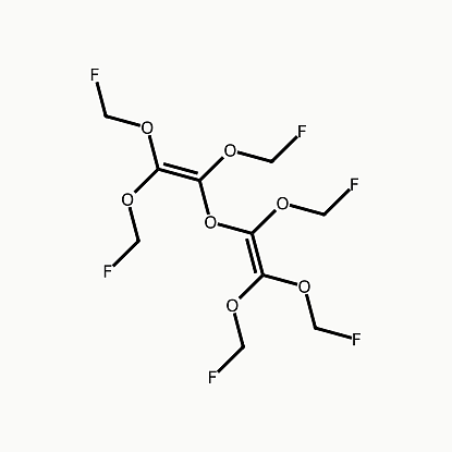 FCOC(OCF)=C(OCF)OC(OCF)=C(OCF)OCF